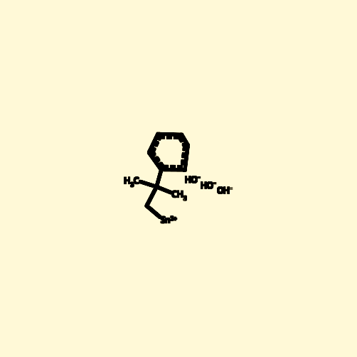 CC(C)([CH2][Sn+3])c1ccccc1.[OH-].[OH-].[OH-]